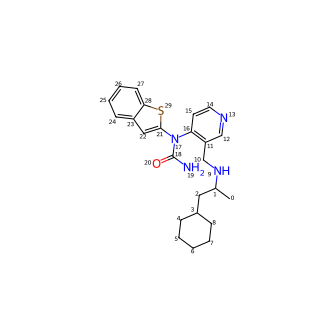 CC(CC1CCCCC1)NCc1cnccc1N(C(N)=O)c1cc2ccccc2s1